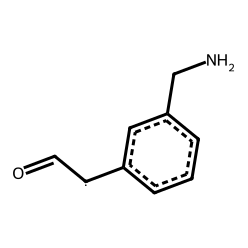 NCc1cccc([CH]C=O)c1